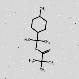 CC1CCC(C(C)(C)OC(=O)C(C)(C)C)CC1